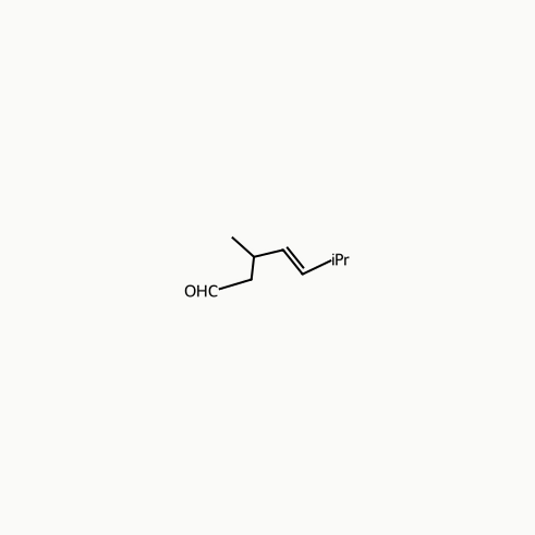 CC(C)C=CC(C)CC=O